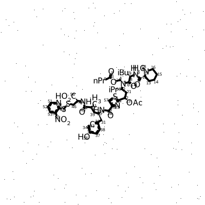 CCCC(=O)OCN(C(=O)[C@@H](NC(=O)[C@H]1CCCCN1C)C(C)CC)[C@H](C[C@@H](OC(C)=O)c1nc(C(=O)N[C@@H](Cc2ccc(O)cc2)C[C@H](C)C(=O)N[C@@H](CSSc2ncccc2[N+](=O)[O-])C(=O)O)cs1)C(C)C